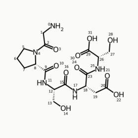 NCC(=O)N1CCC[C@H]1C(=O)N[C@@H](CO)C(=O)N[C@@H](CC(=O)O)C(=O)N[C@@H](CO)C(=O)O